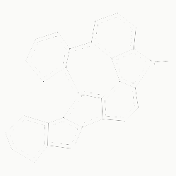 Cn1c2cccc3c4ccccc4n4c5c6ccccc6oc5c5ccc1c(c32)c54